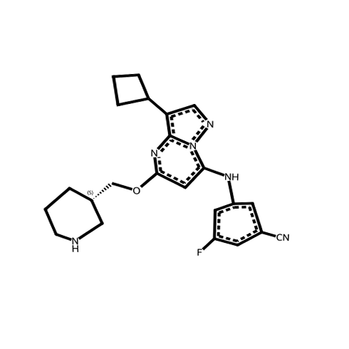 N#Cc1cc(F)cc(Nc2cc(OC[C@H]3CCCNC3)nc3c(C4CCC4)cnn23)c1